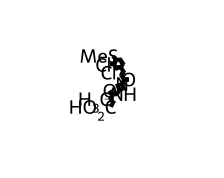 CSc1ccc(/C=C/C(=O)N2CC(NC(=O)[C@@H](C)CC(=O)O)C2)c(Cl)c1Cl